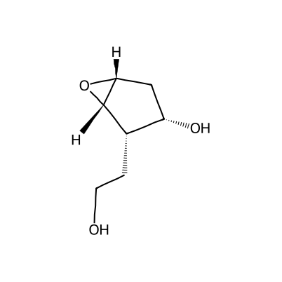 OCC[C@@H]1[C@@H]2O[C@@H]2C[C@@H]1O